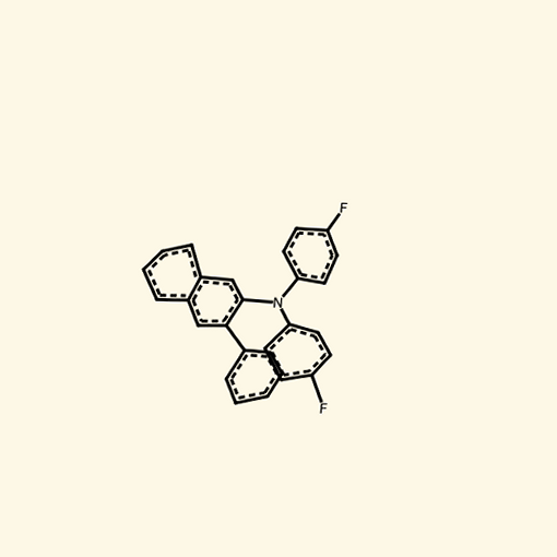 Fc1ccc(N(c2ccc(F)cc2)c2cc3ccccc3cc2-c2ccccc2)cc1